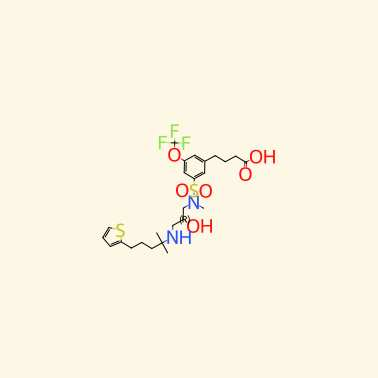 CN(C[C@H](O)CNC(C)(C)CCCc1cccs1)S(=O)(=O)c1cc(CCCC(=O)O)cc(OC(F)(F)F)c1